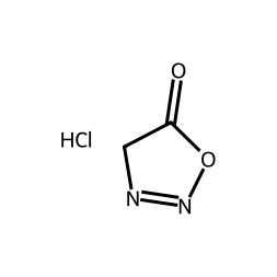 Cl.O=C1CN=NO1